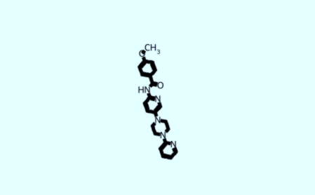 COc1ccc(C(=O)Nc2ccc(N3CCN(c4ccccn4)CC3)cn2)cc1